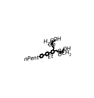 C=C(CO)C(=O)OCCc1ccc(-c2ccc(-c3ccc(CCCCC)cc3)cc2CC)cc1CCOC(=O)C(=C)CO